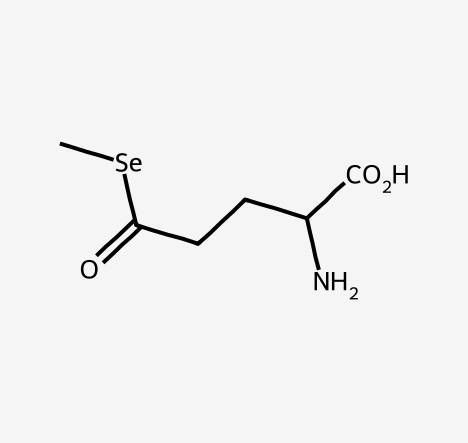 C[Se]C(=O)CCC(N)C(=O)O